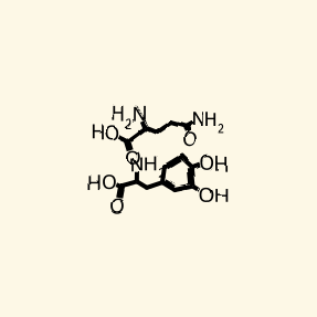 NC(=O)CCC(N)C(=O)O.NC(Cc1ccc(O)c(O)c1)C(=O)O